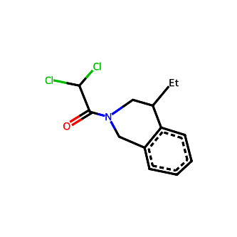 CCC1CN(C(=O)C(Cl)Cl)Cc2ccccc21